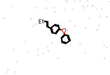 CC/C=C/c1ccc(Oc2ccccc2)cc1